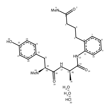 CNC(=O)CCCc1ccccc1NC(=O)[C@@H](C)NC(=O)[C@H](Cc1ccc(O)cc1)NC.Cl.O.O